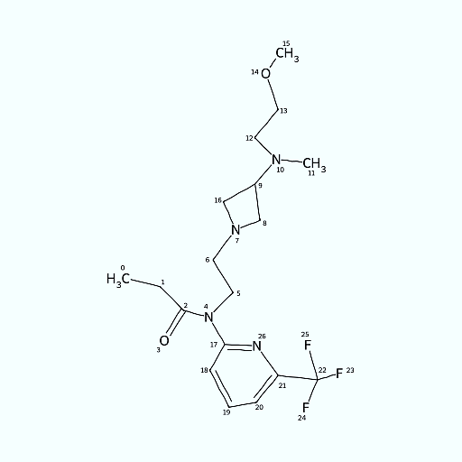 CCC(=O)N(CCN1CC(N(C)CCOC)C1)c1cccc(C(F)(F)F)n1